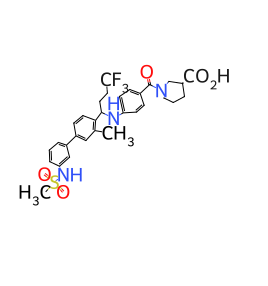 Cc1cc(-c2cccc(NS(C)(=O)=O)c2)ccc1C(CCC(F)(F)F)Nc1ccc(C(=O)N2CCC[C@@H](C(=O)O)C2)cc1